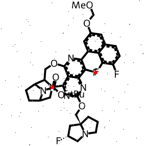 COCOc1cc(-c2nc3c4c(nc(OC[C@@]56CCCN5C[C@H](F)C6)nc4c2F)N2CC4CCC(C2CO3)N4C(=O)OC(C)(C)C)c2c(F)c(F)ccc2c1